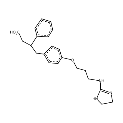 O=C(O)CC(Cc1ccc(OCCCNC2=NCCN2)cc1)c1ccccc1